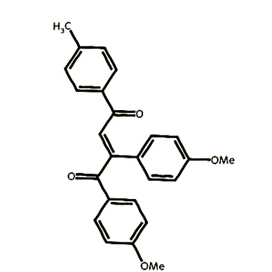 COc1ccc(C(=O)C(=CC(=O)c2ccc(C)cc2)c2ccc(OC)cc2)cc1